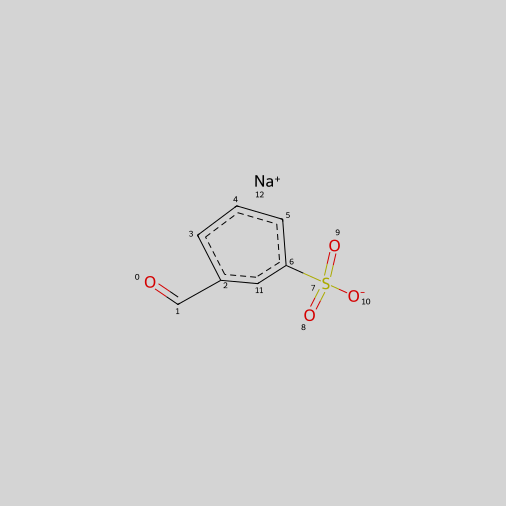 O=Cc1cccc(S(=O)(=O)[O-])c1.[Na+]